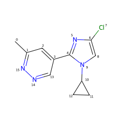 Cc1cc(-c2nc(Cl)cn2C2CC2)cnn1